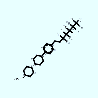 CCCCC[C@H]1CC[C@H](C2CCC(c3ccc(CCC(F)(F)C(F)(F)C(F)(F)C(F)(F)C(F)(F)C(F)(F)F)cc3)CC2)CC1